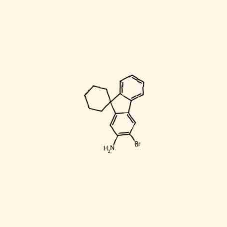 Nc1cc2c(cc1Br)-c1ccccc1C21CCCCC1